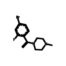 C=C(c1ccc(Br)cc1F)N1CCN(C)CC1